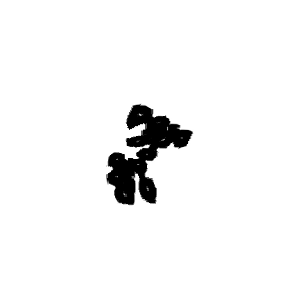 c1ccc(-c2cc(-c3ccc(-c4cc5c6ccccc6sc5c5c4c4ccccc4n5-c4cccc(-c5ccccc5)c4)cc3)cc(-n3c4ccccc4c4ccc5c6ccccc6sc5c43)c2)cc1